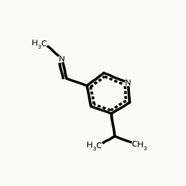 C/N=C/c1cncc(C(C)C)c1